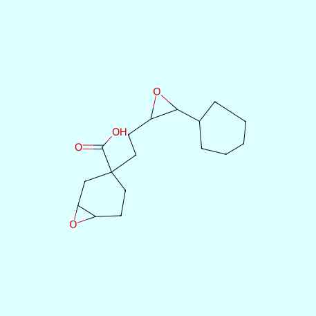 O=C(O)C1(CCC2OC2C2CCCCC2)CCC2OC2C1